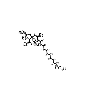 CCCCC(CC)CC(CC(CC)CCCC)(CC(CC)CCCCCCCCCCCCC(=O)O)C(=O)O